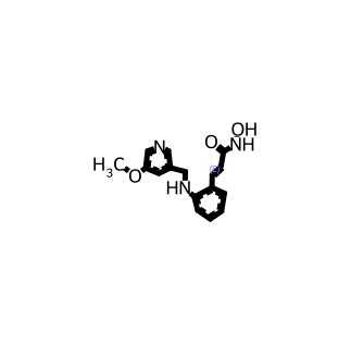 COc1cncc(CNc2ccccc2/C=C/C(=O)NO)c1